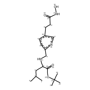 CC(C)CC(NCc1ccc(CCC(=O)NO)cn1)C(=O)OC(C)(C)C